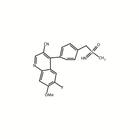 COc1cc2ncc(C#N)c(-c3ccc(CS(C)(=N)=O)cc3)c2cc1F